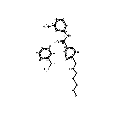 CCCCCNCc1ccc(C(=O)Nc2ccnc(N)c2)cc1.OCc1cccnc1